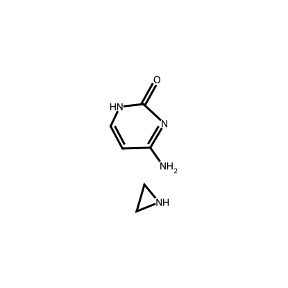 C1CN1.Nc1cc[nH]c(=O)n1